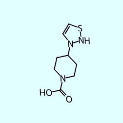 O=C(O)N1CCC(N2C=CSN2)CC1